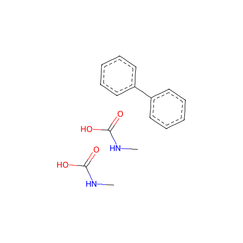 CNC(=O)O.CNC(=O)O.c1ccc(-c2ccccc2)cc1